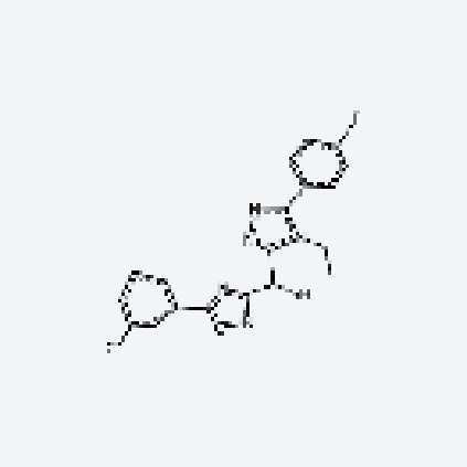 CCn1c(-c2ccc(F)cc2)nnc1C(S)c1noc(-c2cccc(Cl)c2)n1